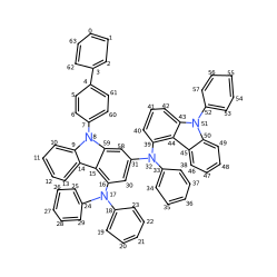 c1ccc(-c2ccc(-n3c4ccccc4c4c(N(c5ccccc5)c5ccccc5)cc(N(c5ccccc5)c5cccc6c5c5ccccc5n6-c5ccccc5)cc43)cc2)cc1